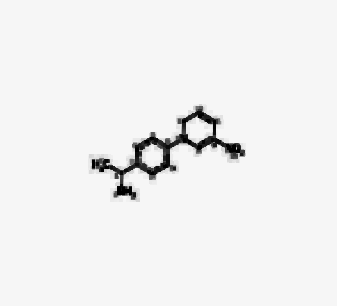 CC(N)c1ccc(N2C=C([N+](=O)[O-])C=CC2)cc1